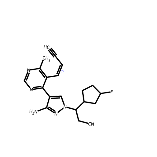 C#C/C=C\c1c(C)ncnc1-c1cn(C(CC#N)C2CCC(F)C2)nc1N